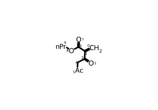 C=C(C(=O)CC(C)=O)C(=O)OCCC